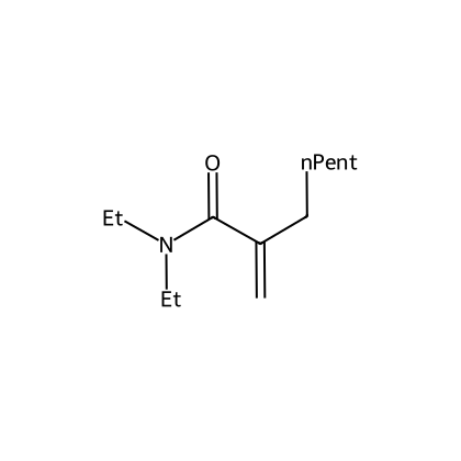 C=C(CCCCCC)C(=O)N(CC)CC